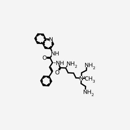 C[N+](CCN)(CCN)CCC[C@H](N)C(=O)N[C@H](/C=C/c1ccccc1)C(=O)Nc1cnc2ccccc2c1